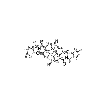 Cc1ccc(C(C)N2C(=O)c3ccc4c5c(C#N)cc6c7c(ccc(c8c(C#N)cc(c3c48)C2=O)c75)C(=O)N(C(C)c2ccc(C)cc2)C6=O)cc1